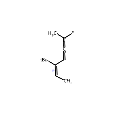 C/C=C(\C=C=C(C)F)C(C)(C)C